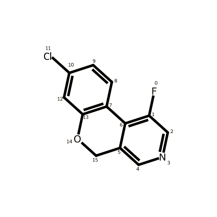 Fc1cncc2c1-c1ccc(Cl)cc1OC2